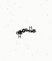 O=c1ccc(-c2ccc(OCCCNCC3CCCC3)cc2)n[nH]1